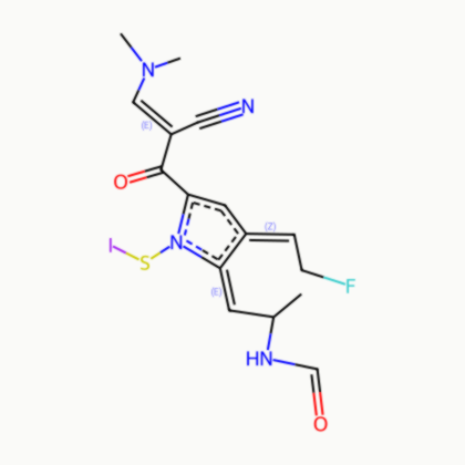 CC(/C=c1\c(=C/CF)cc(C(=O)/C(C#N)=C/N(C)C)n1SI)NC=O